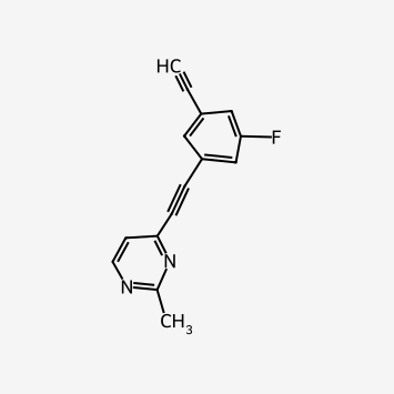 C#Cc1cc(F)cc(C#Cc2ccnc(C)n2)c1